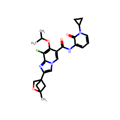 CC(C)Oc1c(C(=O)Nc2cccn(C3CC3)c2=O)cn2cc(C34COC(C)(C3)C4)nc2c1F